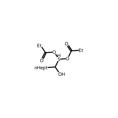 CCCCCCCC(O)[SH](OC(=O)CC)OC(=O)CC